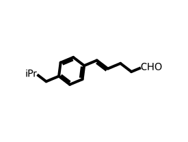 CC(C)Cc1ccc(C=CCCC=O)cc1